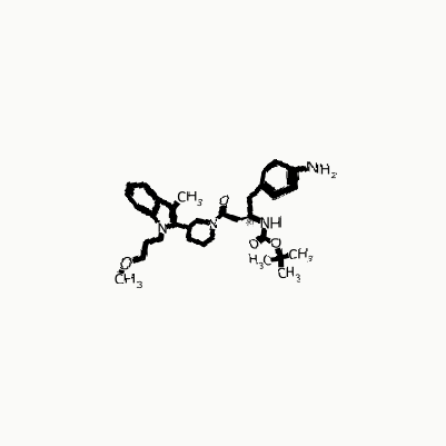 COCCCn1c(C2CCCN(C(=O)C[C@@H](Cc3ccc(N)cc3)NC(=O)OC(C)(C)C)C2)c(C)c2ccccc21